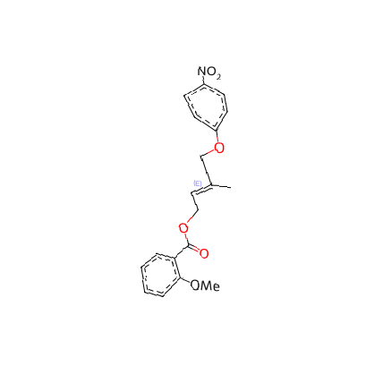 COc1ccccc1C(=O)OC/C=C(\C)COc1ccc([N+](=O)[O-])cc1